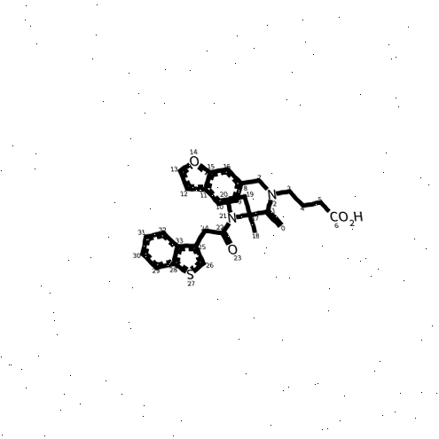 C=C(N(CCCC(=O)O)Cc1ccc2ccoc2c1)C1(C)CCN1C(=O)Cc1csc2ccccc12